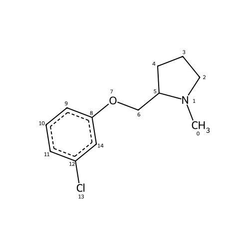 CN1CCCC1COc1cccc(Cl)c1